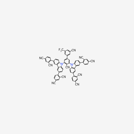 N#Cc1cc(-c2cc(-n3c4ccc(-c5ccc(C#N)cc5C#N)cc4c4cc(-c5ccc(C#N)cc5C#N)ccc43)c(C#N)c(-n3c4ccc(-c5ccc(C#N)cc5C#N)cc4c4cc(-c5ccc(C#N)cc5C#N)ccc43)c2)cc(C(F)(F)F)c1